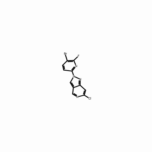 Fc1nc(-n2cc3cnc(Cl)cc3n2)ccc1Br